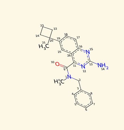 CN(Cc1ccccc1)C(=O)c1nc(N)nc2ccc(C3(C)CCC3)cc12